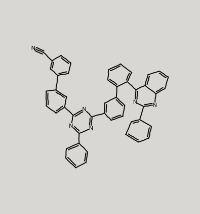 N#Cc1cccc(-c2cccc(-c3nc(-c4ccccc4)nc(-c4cccc(-c5ccccc5-c5nc(-c6ccccc6)nc6ccccc56)c4)n3)c2)c1